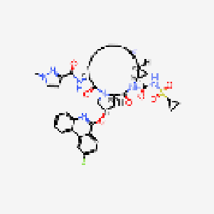 Cn1ccc(C(=O)N[C@H]2CCCCC/C=C\[C@@H]3C[C@@]3(C(=O)NS(=O)(=O)C3CC3)NC(=O)[C@@H]3C[C@@H](Oc4nc5ccccc5c5cc(F)ccc45)CN3C2=O)n1